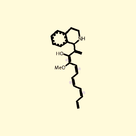 C=C\C=C/C=C\C=C/C(OC)=C(/O)C(=C)C1NCCc2ccccc21